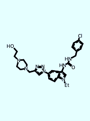 CCn1cc(NC(=O)NCc2ccc(Cl)cc2)c2cc(-n3cc(CN4CCN(CCO)CC4)nn3)ccc21